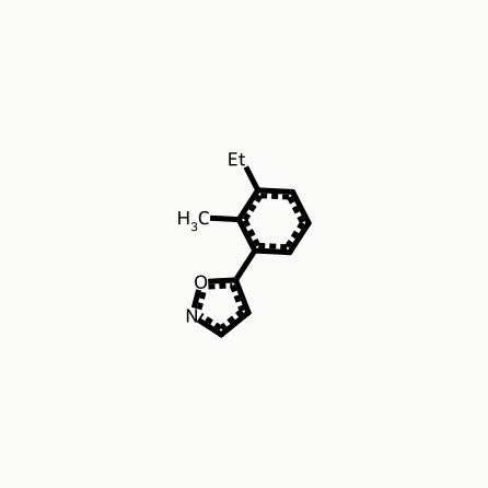 CCc1cccc(-c2ccno2)c1C